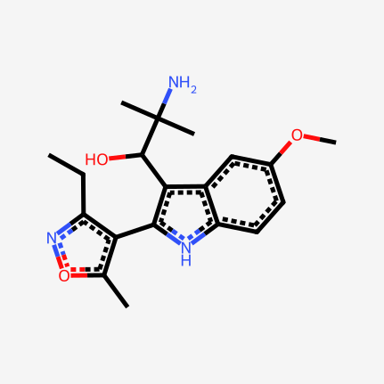 CCc1noc(C)c1-c1[nH]c2ccc(OC)cc2c1C(O)C(C)(C)N